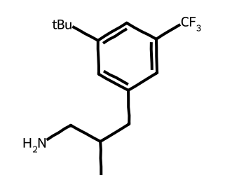 CC(CN)Cc1cc(C(C)(C)C)cc(C(F)(F)F)c1